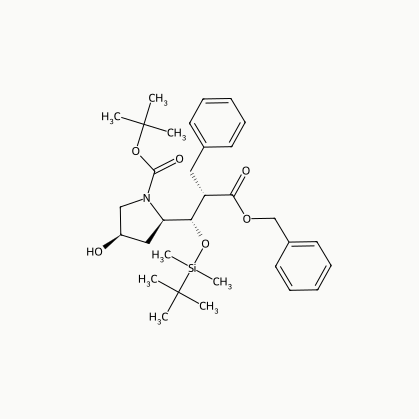 CC(C)(C)OC(=O)N1C[C@H](O)C[C@@H]1[C@@H](O[Si](C)(C)C(C)(C)C)[C@H](Cc1ccccc1)C(=O)OCc1ccccc1